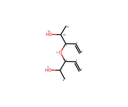 C=CC(OC(C=C)C(C)O)C(C)O